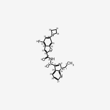 CCn1nc([S+]([O-])NC(=O)c2cc3c(F)cc(N4CCC4)cc3o2)c2cccnc21